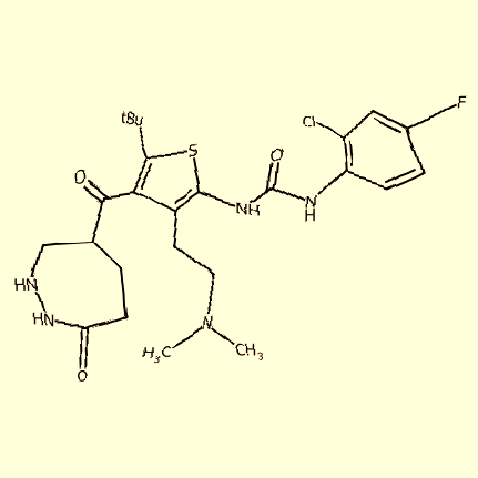 CN(C)CCc1c(NC(=O)Nc2ccc(F)cc2Cl)sc(C(C)(C)C)c1C(=O)C1CCC(=O)NNC1